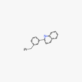 CC(C)Cc1cccc(-c2ccc3ccccc3n2)c1